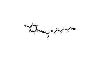 CC(C#Cc1ccc(F)cc1)OCCCCCCBr